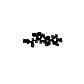 CC(Oc1cc2oc(=O)n(CCC(=O)O)c2cc1Cl)c1ccc(F)cn1